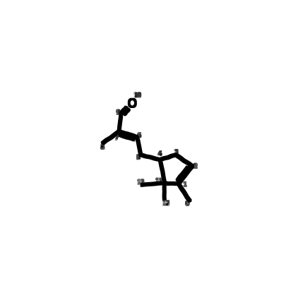 CC1=CCC(C/C=C(\C)C=O)C1(C)C